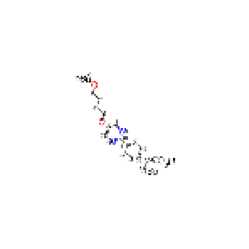 CCCCOCCCCOc1cnc(-c2ccc(C(CCCC)C(=O)O)cc2)nc1